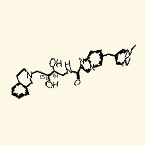 Cn1cc(-c2ccc3nc(C(=O)NC[C@H](O)[C@@H](O)CN4CCc5ccccc5C4)cn3c2)cn1